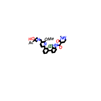 COc1nc(-c2cccc(-c3cccc(NC(=O)c4ccnn(C)c4=O)c3Cl)c2Cl)ccc1CN1CC(O)(C(C)=O)C1